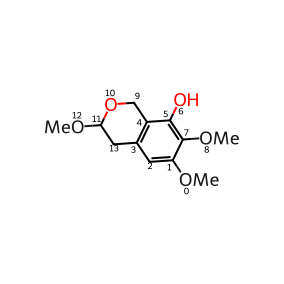 COc1cc2c(c(O)c1OC)COC(OC)C2